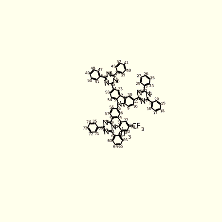 FC(F)(F)c1cc(-c2cc(-n3c4ccc(-c5nc(-c6ccccc6)nc(-c6ccccc6)n5)cc4c4cc(-c5nc(-c6ccccc6)nc(-c6ccccc6)n5)ccc43)ccc2-c2nc(-c3ccccc3)nc(-c3ccccc3)n2)cc(C(F)(F)F)c1